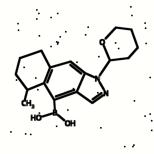 CC1CCCc2cc3c(cnn3C3CCCCO3)c(B(O)O)c21